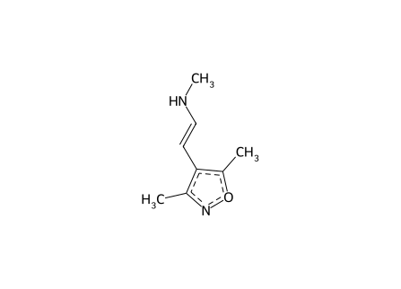 CNC=Cc1c(C)noc1C